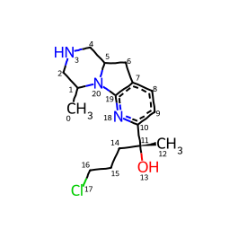 CC1CNCC2Cc3ccc([C@](C)(O)CCCCl)nc3N12